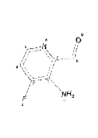 Nc1c(F)ccnc1C=O